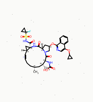 C[C@@H]1CC/C=C\[C@@H]2C[C@@]2(C(=O)NS(=O)(=O)C2(F)CC2)NC(=O)[C@@H]2C[C@@H](Oc3ncc(OC4CC4)c4ccccc34)CN2C(=O)[C@@H](NC(=O)O)[C@H](C)C1